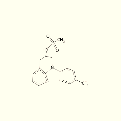 CS(=O)(=O)NC1Cc2ccccc2N(c2ccc(C(F)(F)F)cc2)C1